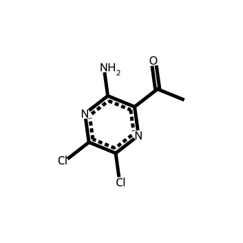 CC(=O)c1nc(Cl)c(Cl)nc1N